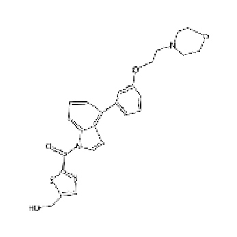 O=C(c1ncc(CO)s1)n1ccc2c(-c3cccc(OCCN4CCOCC4)c3)cccc21